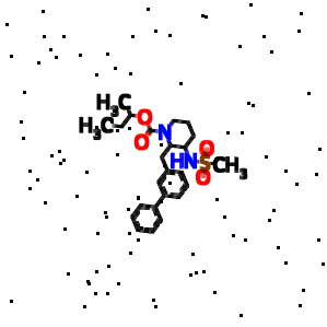 CCC(C)OC(=O)N1CCCC(NS(C)(=O)=O)C1Cc1cccc(-c2ccccc2)c1